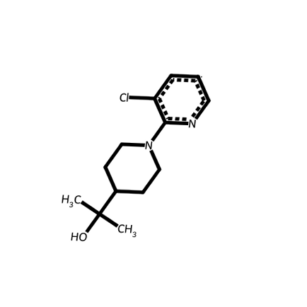 CC(C)(O)C1CCN(c2nc[c]cc2Cl)CC1